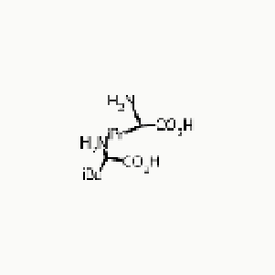 CC(C)C(N)C(=O)O.CCC(C)C(N)C(=O)O